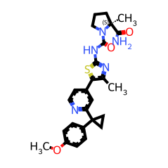 COc1ccc(C2(c3cc(-c4sc(NC(=O)N5CCC[C@@]5(C)C(N)=O)nc4C)ccn3)CC2)cc1